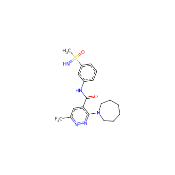 CS(=N)(=O)c1cccc(NC(=O)c2cc(C(F)(F)F)nnc2N2CCCCCC2)c1